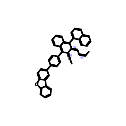 C/B=c1/c(-c2ccc(-c3ccc4oc5ccccc5c4c3)cc2)c2ccccc2c(-c2cccc3ccccc23)/c1=C/C=C\C